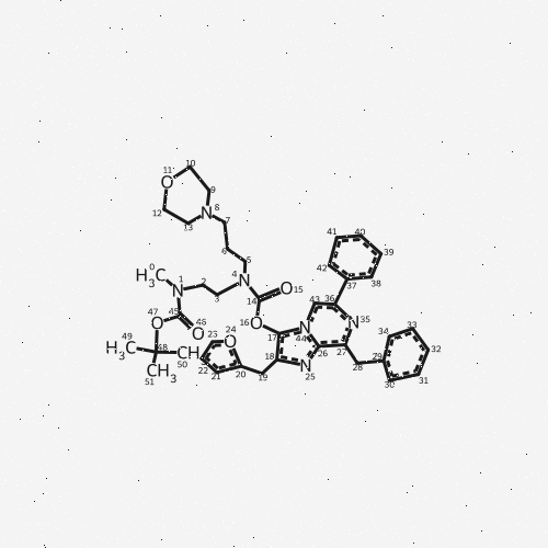 CN(CCN(CCCN1CCOCC1)C(=O)Oc1c(Cc2ccco2)nc2c(Cc3ccccc3)nc(-c3ccccc3)cn12)C(=O)OC(C)(C)C